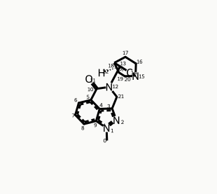 Cn1nc2c3c(cccc31)C(=O)N([C@@H]1CN3CCC1CC3)C2